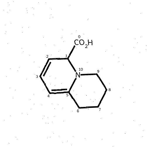 O=C(O)C1C=CC=C2CCCCN21